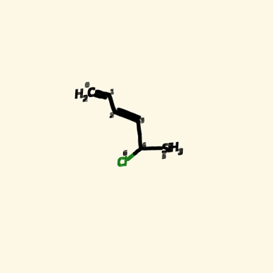 C=CC=CC([SiH3])Cl